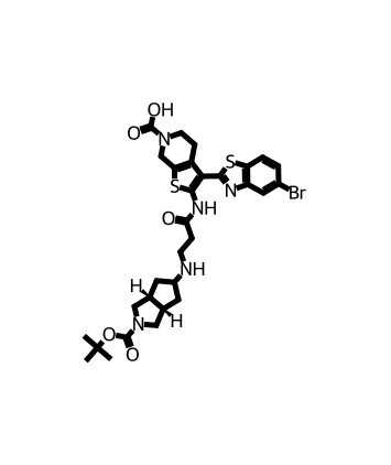 CC(C)(C)OC(=O)N1C[C@H]2CC(NCCC(=O)Nc3sc4c(c3-c3nc5cc(Br)ccc5s3)CCN(C(=O)O)C4)C[C@H]2C1